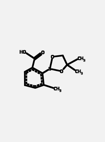 Cc1cccc(C(=O)O)c1B1OCC(C)(C)O1